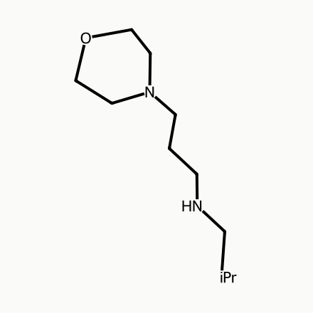 CC(C)CNCCCN1CCOCC1